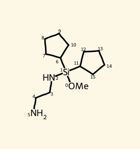 CO[Si](NCCN)(C1CCCC1)C1CCCC1